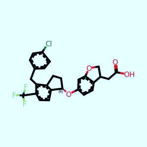 O=C(O)CC1COc2cc(O[C@@H]3CCc4c3ccc(C(F)(F)F)c4Cc3ccc(Cl)cc3)ccc21